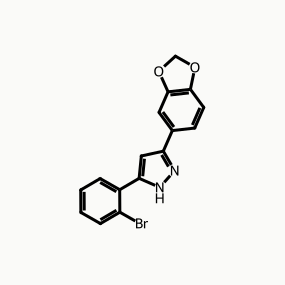 Brc1ccccc1-c1cc(-c2ccc3c(c2)OCO3)n[nH]1